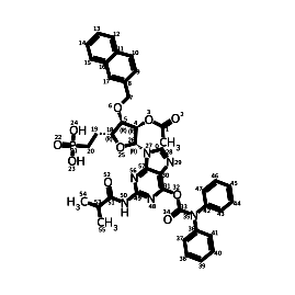 CC(=O)O[C@@H]1[C@H](OCc2ccc3ccccc3c2)[C@@H](CCP(=O)(O)O)O[C@H]1n1cnc2c(OC(=O)N(c3ccccc3)c3ccccc3)nc(NC(=O)C(C)C)nc21